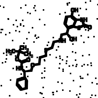 CC(C)(C)OC(=O)N[C@@H](COCCCSCCNC[C@H](O)c1ccc(O)c2[nH]c(=O)sc12)c1ccccc1